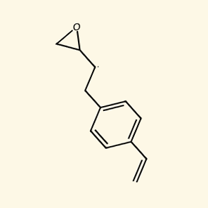 C=Cc1ccc(C[CH]C2CO2)cc1